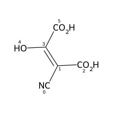 N#CC(C(=O)O)=C(O)C(=O)O